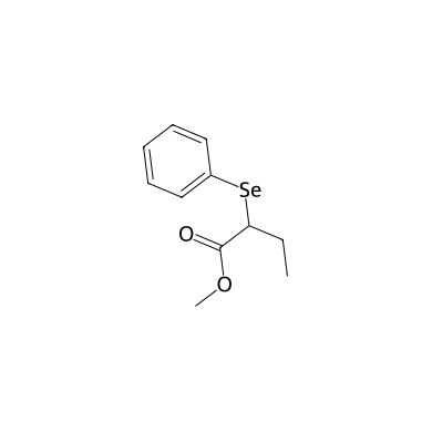 CCC([Se]c1ccccc1)C(=O)OC